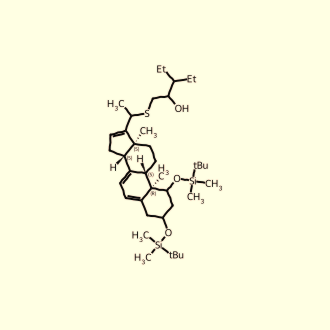 CCC(CC)C(O)CSC(C)C1=CC[C@H]2C3=CC=C4CC(O[Si](C)(C)C(C)(C)C)CC(O[Si](C)(C)C(C)(C)C)[C@]4(C)[C@H]3CC[C@]12C